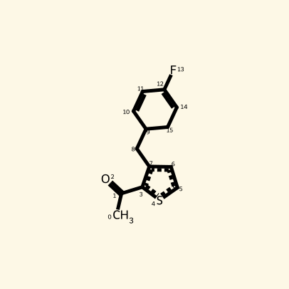 CC(=O)c1sccc1CC1C=CC(F)=CC1